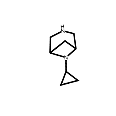 C1CC1N1C2CNCC1C2